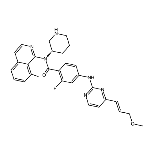 COC/C=C/c1ccnc(Nc2ccc(C(=O)N(c3nccc4cccc(C)c34)[C@@H]3CCCNC3)c(F)c2)n1